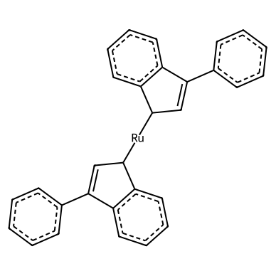 C1=C(c2ccccc2)c2ccccc2[CH]1[Ru][CH]1C=C(c2ccccc2)c2ccccc21